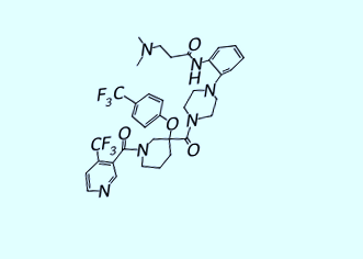 CN(C)CCC(=O)Nc1ccccc1N1CCN(C(=O)C2(Oc3ccc(C(F)(F)F)cc3)CCCN(C(=O)c3cnccc3C(F)(F)F)C2)CC1